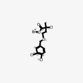 CC(Cl)(CCOCc1ccc(Cl)c(Cl)c1)C(=O)OBr